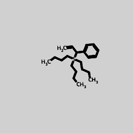 C=CC(c1ccccc1)S(CCCC)(CCCC)CCCC